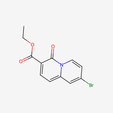 CCOC(=O)c1ccc2cc(Br)ccn2c1=O